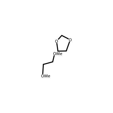 C1COCO1.COCCOC